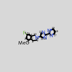 COc1cc(F)cc2c1CCN(c1cnc(-c3ncccn3)nc1)C2